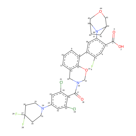 O=C(O)c1cc(F)c(-c2cccc3c2OCN(C(=O)c2c(Cl)cc(N4CCC(F)(F)CC4)cc2Cl)C3)cc1N1C2CCC1COC2